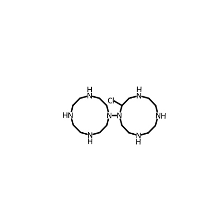 ClC1CNCCNCCNCCN1N1CCNCCNCCNCC1